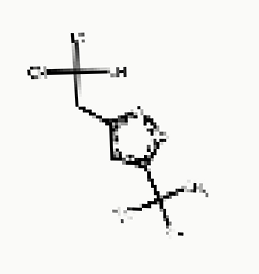 [C-]#[N+]C(C#N)(CC)Cc1cc(C(C)(C)O)on1